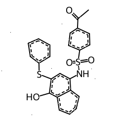 CC(=O)c1ccc(S(=O)(=O)Nc2cc(Sc3ccccc3)c(O)c3ccccc23)cc1